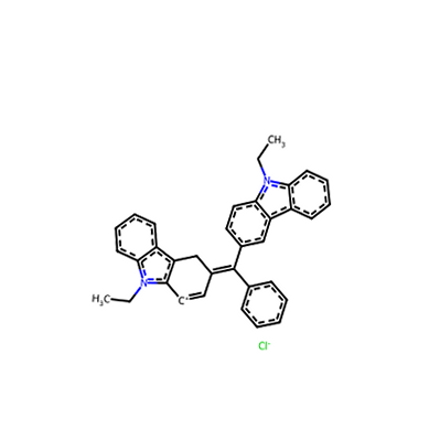 CCn1c2c(c3ccccc31)CC(=C(c1ccccc1)c1ccc3c(c1)c1ccccc1n3CC)C=[C+]2.[Cl-]